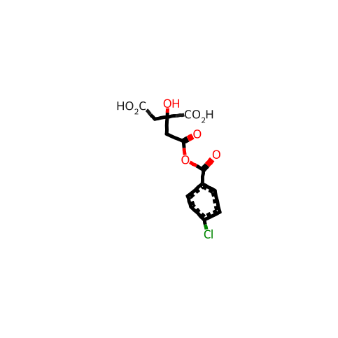 O=C(O)CC(O)(CC(=O)OC(=O)c1ccc(Cl)cc1)C(=O)O